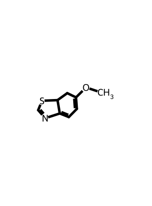 COC1=CC=C2N=CSC2C1